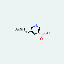 CC(=O)NCc1cncc(B(O)O)c1